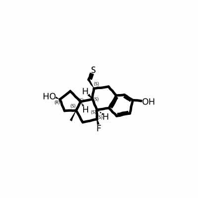 C[C@@]12C[C@H](O)C[C@H]1[C@H]1[C@@H](c3ccc(O)cc3C[C@@H]1C=S)[C@@H](F)C2